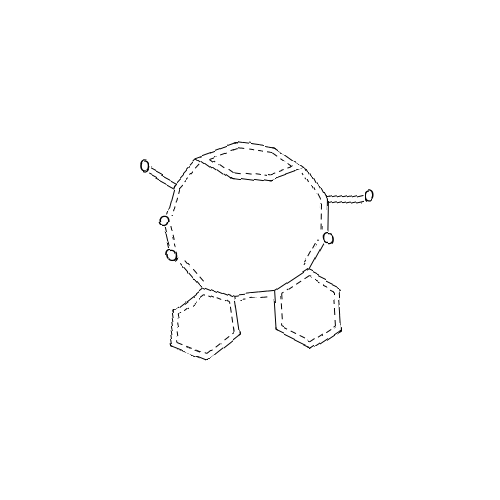 O=c1ooc2ccccc2c2ccccc2oc(=O)c2ccc1cc2